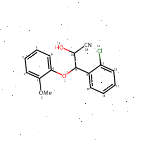 COc1ccccc1OC(c1ccccc1Cl)C(O)C#N